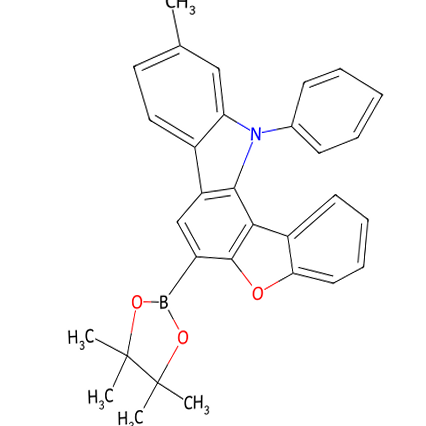 Cc1ccc2c3cc(B4OC(C)(C)C(C)(C)O4)c4oc5ccccc5c4c3n(-c3ccccc3)c2c1